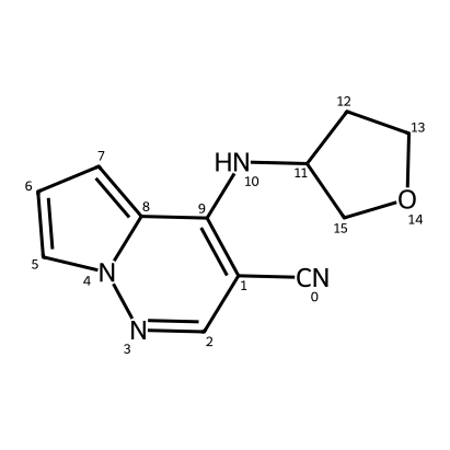 N#Cc1cnn2cccc2c1NC1CCOC1